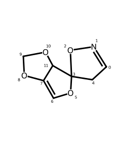 C1=NOC2(C1)OC=C1OCOC12